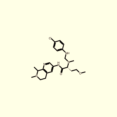 COCC[C@H](C(=O)Nc1cnc2c(c1)CCN(C)C2C)N(C)CNc1ccc(Cl)cc1